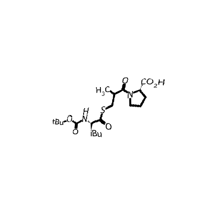 CC[C@H](C)[C@H](NC(=O)OC(C)(C)C)C(=O)SCC(C)C(=O)N1CCC[C@H]1C(=O)O